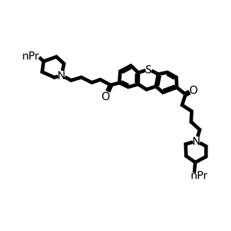 CCCC1CCN(CCCCC(=O)c2ccc3c(c2)Cc2cc(C(=O)CCCCN4CCC(CCC)CC4)ccc2S3)CC1